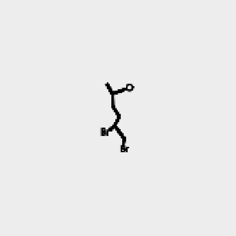 CC([O])CCC(Br)CBr